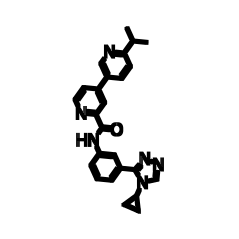 CC(C)c1ccc(-c2ccnc(C(=O)Nc3cccc(-c4nncn4C4CC4)c3)c2)cn1